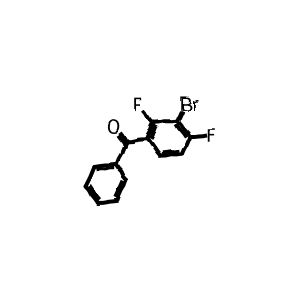 O=C(c1ccccc1)c1ccc(F)c(Br)c1F